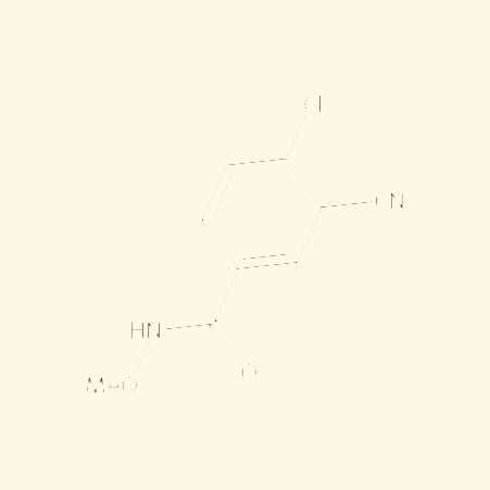 CONC(=O)c1ccc(Cl)c(C#N)c1